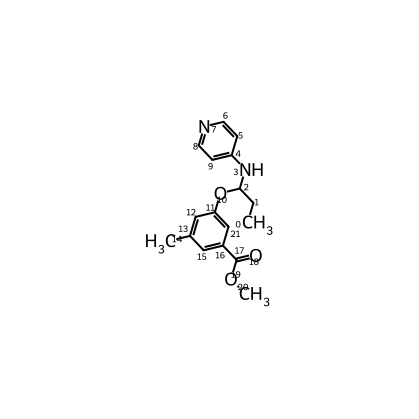 CCC(Nc1ccncc1)Oc1cc(C)cc(C(=O)OC)c1